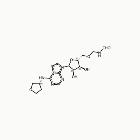 O=CNCOC[C@H]1OC(n2cnc3c(N[C@@H]4CCOC4)ncnc32)[C@H](O)[C@@H]1O